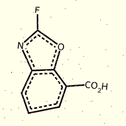 O=C(O)c1cccc2nc(F)oc12